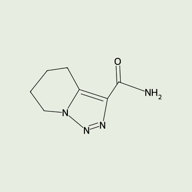 NC(=O)c1nnn2c1CCCC2